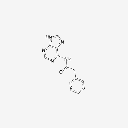 O=C(Cc1ccccc1)Nc1ncnc2[nH]cnc12